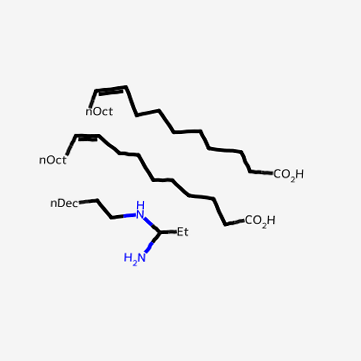 CCCCCCCC/C=C\CCCCCCCC(=O)O.CCCCCCCC/C=C\CCCCCCCC(=O)O.CCCCCCCCCCCCNC(N)CC